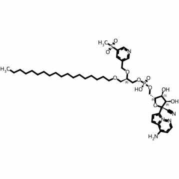 CCCCCCCCCCCCCCCCCCOC[C@H](COP(=O)(O)OC[C@H]1O[C@@](C#N)(c2ccc3c(N)ccnn23)[C@H](O)[C@@H]1O)OCc1cncc(S(C)(=O)=O)c1